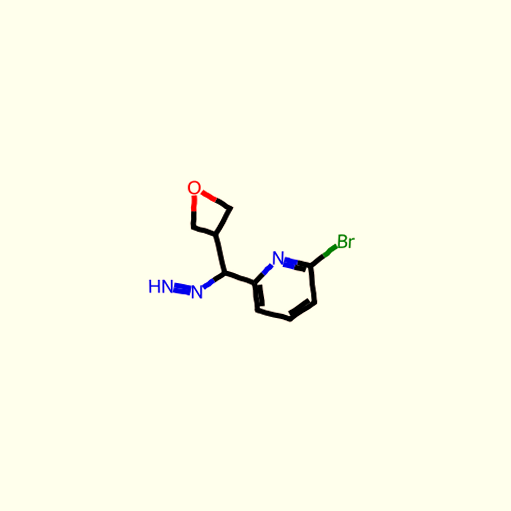 N=NC(c1cccc(Br)n1)C1COC1